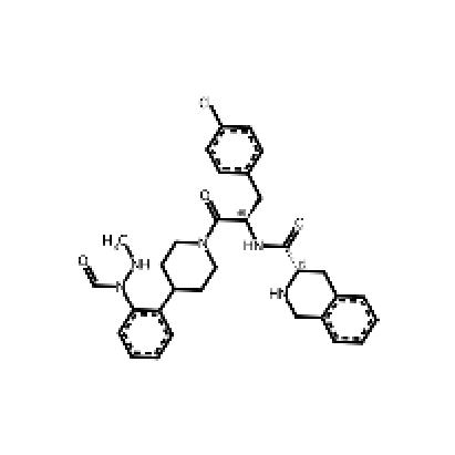 CNN(C=O)c1ccccc1C1CCN(C(=O)[C@@H](Cc2ccc(Cl)cc2)NC(=O)[C@@H]2Cc3ccccc3CN2)CC1